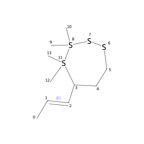 C/C=C/C1CCSSS(C)(C)S1(C)C